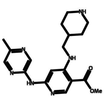 COC(=O)c1cnc(Nc2cnc(C)cn2)cc1NCC1CCNCC1